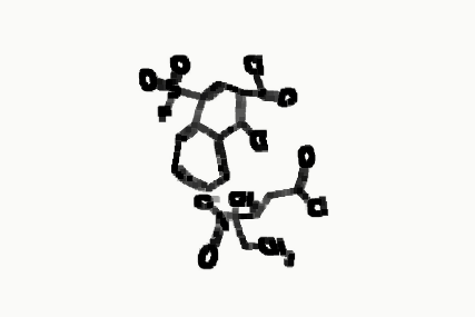 CCC(C)(CCC(=O)Cl)[N+](=O)[O-].O=C(Cl)c1cc(S(=O)(=O)F)c2ccccc2c1Cl